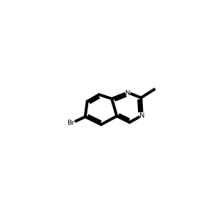 Cc1ncc2cc(Br)ccc2n1